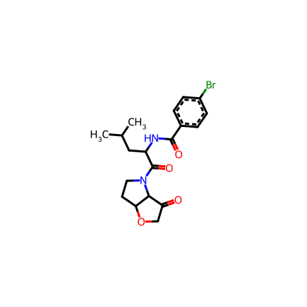 CC(C)CC(NC(=O)c1ccc(Br)cc1)C(=O)N1CCC2OCC(=O)C21